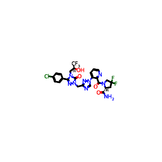 NC(=O)[C@H]1CC(F)(F)CN1C(=O)c1ncccc1-n1cnc(Cn2nc(-c3ccc(Cl)cc3)n(C[C@H](O)C(F)(F)F)c2=O)n1